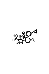 COC1CCC(c2nn(C)c(C(=O)O)c2NS(=O)(=O)c2ccc(C3CC3)cc2)CC1